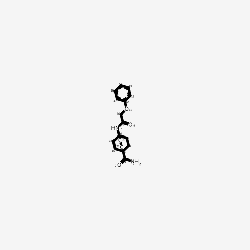 NC(=O)C12CCC(NC(=O)COc3ccccc3)(CC1)CC2